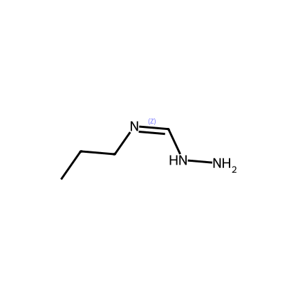 CCC/N=C\NN